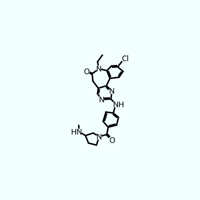 CCN1C(=O)Cc2cnc(Nc3ccc(C(=O)N4CCC(NC)C4)cc3)nc2-c2ccc(Cl)cc21